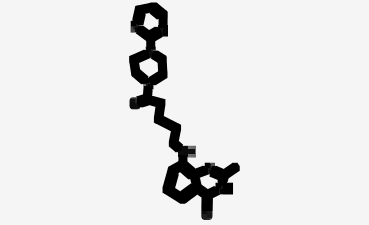 Cc1nc2c(NCCCCC(=O)N3CCN(c4ncccn4)CC3)cccc2c(=O)[nH]1